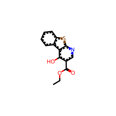 CCOC(=O)c1cnc2sc3ccccc3c2c1O